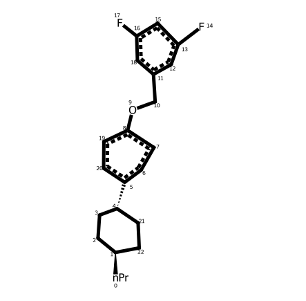 CCC[C@H]1CC[C@H](c2ccc(OCc3cc(F)cc(F)c3)cc2)CC1